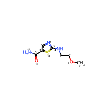 COCCNc1ncc(C(N)=O)s1